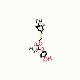 Cc1ccc(CSCCOC(=O)C(C)Oc2ccc(O)cc2)cc1